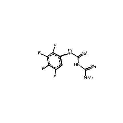 CNC(=N)NC(=N)Nc1cc(F)c(F)c(F)c1F